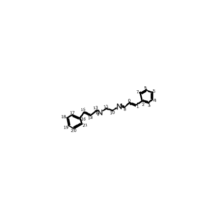 C(=Cc1ccccc1)C=NCCN=CC=Cc1ccccc1